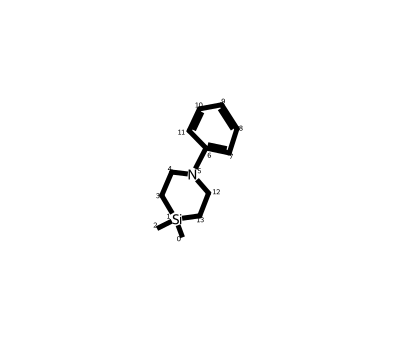 C[Si]1(C)CCN(c2ccccc2)CC1